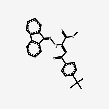 COC(=O)/C(=C/C(=O)c1ccc(C(C)(C)C)cc1)NN=C1c2ccccc2-c2ccccc21